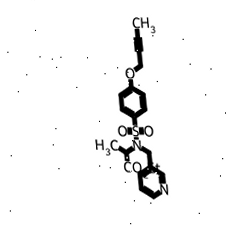 CC#CCOc1ccc(S(=O)(=O)N(Cc2cccnc2)C(C)C(=O)OCC)cc1